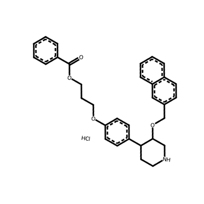 Cl.O=C(OCCCOc1ccc(C2CCNCC2OCc2ccc3ccccc3c2)cc1)c1ccccc1